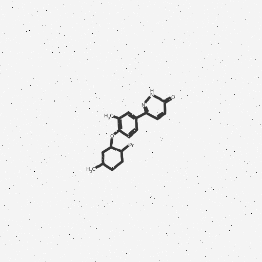 Cc1cc(-c2ccc(=O)[nH]n2)ccc1OC1CC(C)CCC1C(C)C